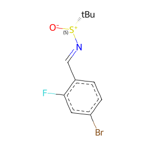 CC(C)(C)[S@@+]([O-])N=Cc1ccc(Br)cc1F